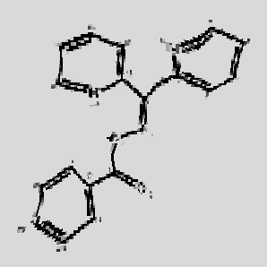 O=C(NN=C(c1ccccn1)c1ccccn1)c1ccncc1